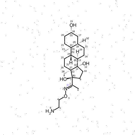 C/C(=N\OCCN)[C@@]1(O)CC[C@]2(O)[C@@H]3CC[C@@H]4C[C@@H](O)CC[C@]4(C)[C@H]3CC[C@]12C